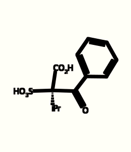 CC(C)[C@](C(=O)O)(C(=O)c1ccccc1)S(=O)(=O)O